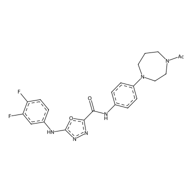 CC(=O)N1CCCN(c2ccc(NC(=O)c3nnc(Nc4ccc(F)c(F)c4)o3)cc2)CC1